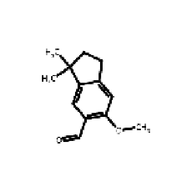 COc1cc2c(cc1C=O)C(C)(C)CC2